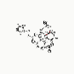 O=C(CCc1cncs1)Oc1ccc([N+](=O)[O-])c(-c2ccccc2)c1OC1CCCC(Br)C1